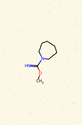 COC(=N)N1CCCCCC1